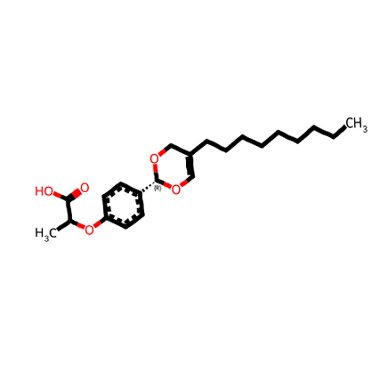 CCCCCCCCCC1=CO[C@H](c2ccc(OC(C)C(=O)O)cc2)OC1